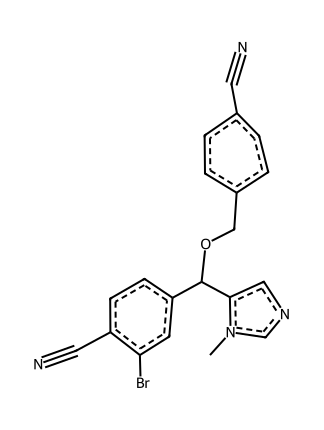 Cn1cncc1C(OCc1ccc(C#N)cc1)c1ccc(C#N)c(Br)c1